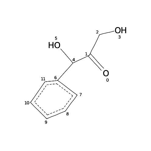 O=C(CO)C(O)c1ccccc1